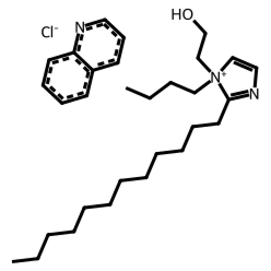 CCCCCCCCCCCCC1=NC=C[N+]1(CCO)CCCC.[Cl-].c1ccc2ncccc2c1